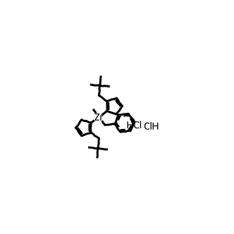 CC(C)(C)CC1=[C]([Zr]([CH3])([CH2]c2ccccc2)[C]2=C(CC(C)(C)C)C=CC2)CC=C1.Cl.Cl